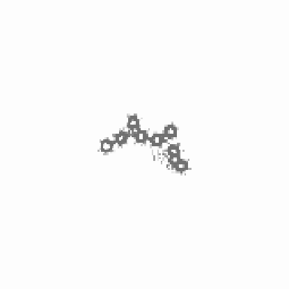 Cc1c(-n2c3ccccc3c3cc(-c4ccc5c(c4)c4ccccc4n5-c4ccc(C5=CCCCC5)cc4)ccc32)ccc2c1C(C)(C)c1ccccc1-2